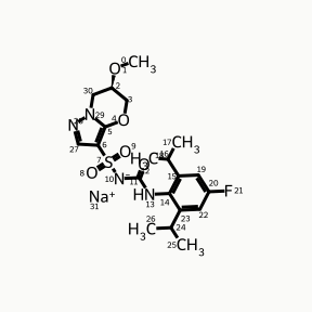 CO[C@H]1COc2c(S(=O)(=O)[N-]C(=O)Nc3c(C(C)C)cc(F)cc3C(C)C)cnn2C1.[Na+]